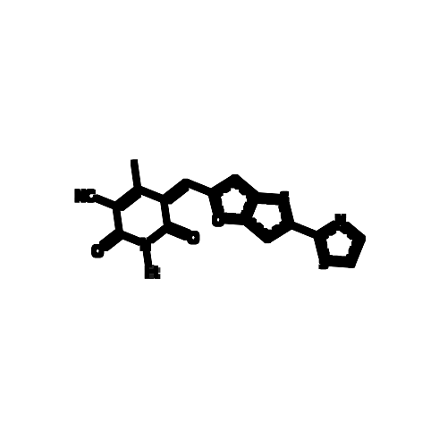 CCN1C(=O)C(C#N)=C(C)/C(=C/c2cc3sc(-c4nccs4)cc3o2)C1=O